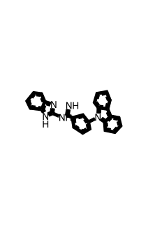 N=C(Nc1nc2ccccc2[nH]1)c1cccc(-n2c3ccccc3c3ccccc32)c1